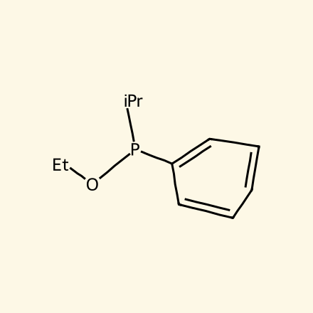 CCOP(c1ccccc1)C(C)C